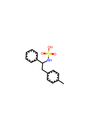 Cc1ccc(CC(NS(=O)(=O)O)c2ccccc2)cc1